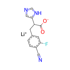 N#Cc1ccc(CC(C(=O)[O-])c2cnc[nH]2)cc1F.[Li+]